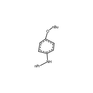 CCCCOc1ccc(NCCC)cc1